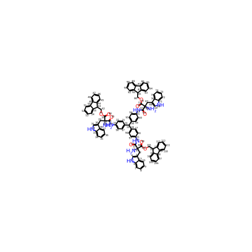 N[C@@](Cc1c[nH]c2ccccc12)(C(=O)Nc1ccc(C(c2ccc(NC(=O)[C@@](N)(Cc3c[nH]c4ccccc34)C(=O)OCC3c4ccccc4-c4ccccc43)cc2)c2ccc(NC(=O)[C@@](N)(Cc3c[nH]c4ccccc34)C(=O)OCC3c4ccccc4-c4ccccc43)cc2)cc1)C(=O)OCC1c2ccccc2-c2ccccc21